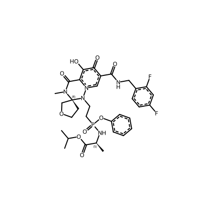 CC(C)OC(=O)[C@H](C)NP(=O)(CCN1n2cc(C(=O)NCc3ccc(F)cc3F)c(=O)c(O)c2C(=O)N(C)[C@]12CCOC2)Oc1ccccc1